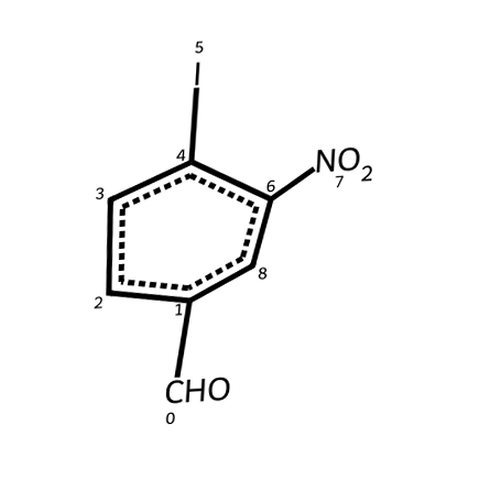 O=Cc1ccc(I)c([N+](=O)[O-])c1